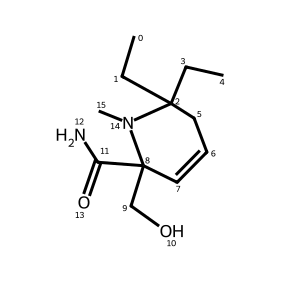 CCC1(CC)CC=CC(CO)(C(N)=O)N1C